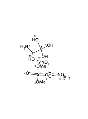 COS(=O)(=O)OC.N.NCC(O)(O)O.O=[N+]([O-])O.O=[N+]([O-])O